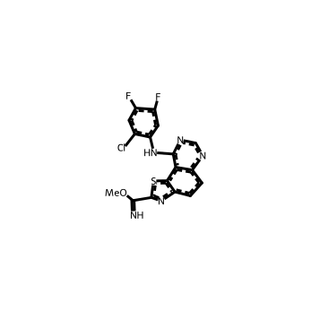 COC(=N)c1nc2ccc3ncnc(Nc4cc(F)c(F)cc4Cl)c3c2s1